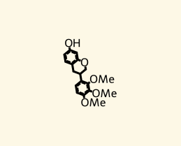 COc1ccc(C2COc3cc(O)ccc3C2)c(OC)c1OC